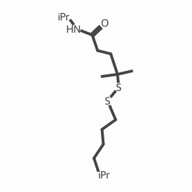 CC(C)CCCCSSC(C)(C)CCC(=O)NC(C)C